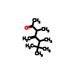 C=C(C(C)C(C)=O)C(C)C(C)(C)C